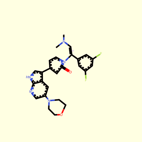 CN(C)/C=C(/c1cc(F)cc(F)c1)n1ccc(-c2c[nH]c3ncc(N4CCOCC4)cc23)cc1=O